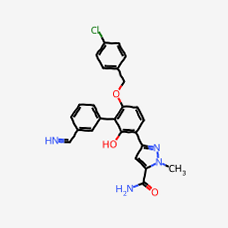 Cn1nc(-c2ccc(OCc3ccc(Cl)cc3)c(-c3cccc(C=N)c3)c2O)cc1C(N)=O